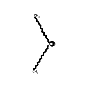 CCCCCCCCCCCCCCCCC1CCCCN1CCCCCCCCCCCCCCCC.Cl